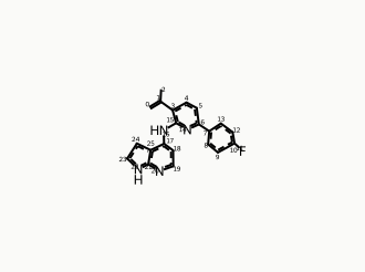 C=C(C)c1ccc(-c2ccc(F)cc2)nc1Nc1ccnc2[nH]ccc12